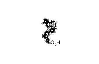 Cc1c(CCOc2c(-c3ccc4ncc(CN(C)C(=O)O)n4c3)ccc(F)c2F)c(C(O)C(C)(C)C)nn1C